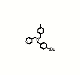 Cc1ccc(CN(CC2=CCC(C(C)(C)C)C=C2)Cc2ccncc2)cc1